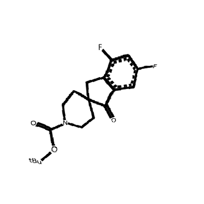 CC(C)(C)OC(=O)N1CCC2(CC1)Cc1c(F)cc(F)cc1C2=O